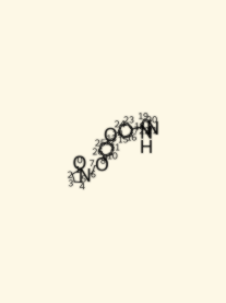 O=C1CCCN1CCOc1ccc(Oc2ccc(-c3ccn[nH]3)cc2)cc1